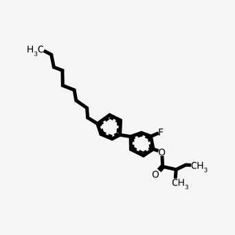 CCCCCCCCCc1ccc(-c2ccc(OC(=O)C(C)CC)c(F)c2)cc1